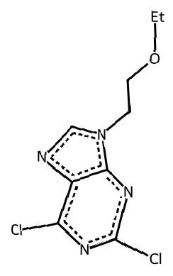 CCOCCn1cnc2c(Cl)nc(Cl)nc21